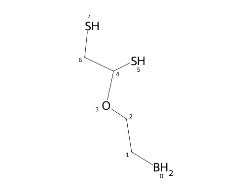 BCCOC(S)CS